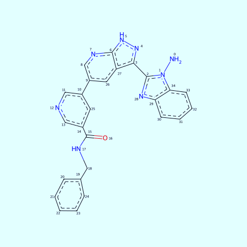 Nn1c(-c2n[nH]c3ncc(-c4cncc(C(=O)NCc5ccccc5)c4)cc23)nc2ccccc21